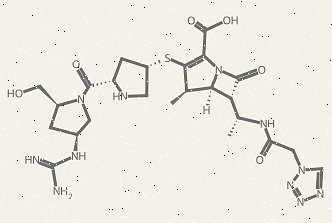 C[C@@H](NC(=O)Cn1cnnn1)[C@H]1C(=O)N2C(C(=O)O)=C(S[C@@H]3CN[C@H](C(=O)N4C[C@@H](NC(=N)N)C[C@H]4CO)C3)[C@H](C)[C@H]12